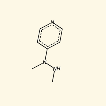 CNN(C)c1ccncc1